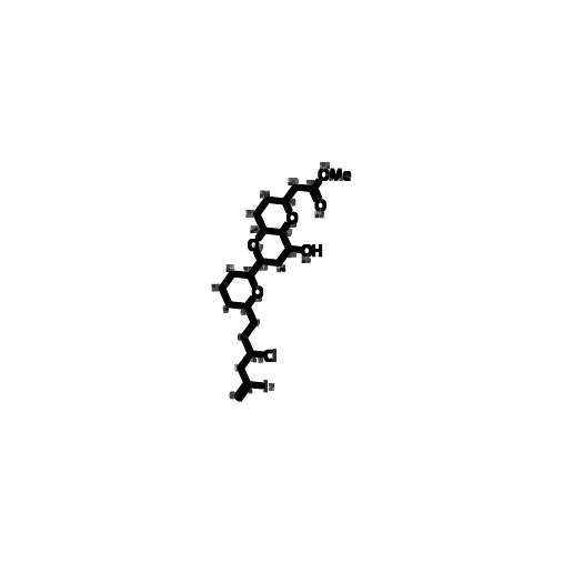 C=C(I)CC(Cl)CCC1CCCC(C2CC(O)C3OC(CC(=O)OC)CCC3O2)O1